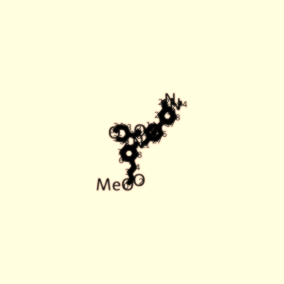 COC(=O)/C=C/c1cccc(N(CC23CCC(c4ccc5c(cnn5C)c4)(CC2)OC3)C(=O)C2CCOCC2)c1